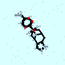 COc1ccc(C2CC3Cc4[nH]ncc4C(C2)N3S(=O)(=O)c2ccc(C(F)(F)F)nc2)cc1